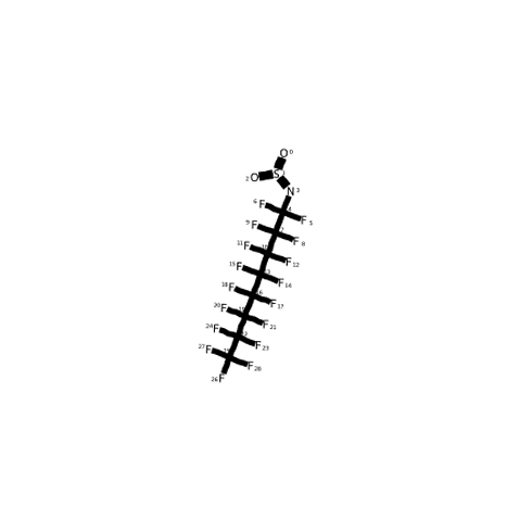 O=S(=O)=NC(F)(F)C(F)(F)C(F)(F)C(F)(F)C(F)(F)C(F)(F)C(F)(F)C(F)(F)F